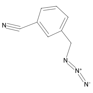 N#Cc1cccc(CN=[N+]=[N-])c1